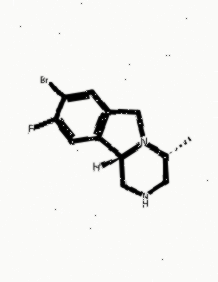 C[C@@H]1CNC[C@@H]2c3cc(F)c(Br)cc3CN12